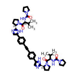 CC(C)[C@@H](NC(=O)N1CCCC1)C(=O)N1CCC[C@H]1c1ncc(-c2ccc(C#Cc3ccc(-c4cnc([C@@H]5CCCN5C(=O)[C@H](NC(=O)N5CCCC5)C(C)C)[nH]4)cc3)cc2)[nH]1